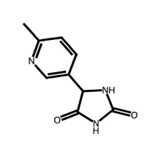 Cc1ccc(C2NC(=O)NC2=O)cn1